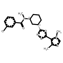 Cc1ncn(C)c1-c1nnc([C@H]2CCC[C@H](N(C)C(=O)c3cccc(Cl)c3)C2)o1